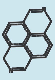 C1=NCc2ccc3c4c(ccc1c24)CN=C3